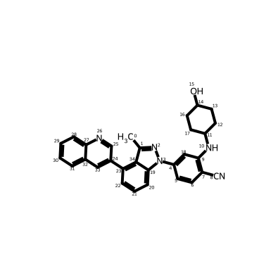 Cc1nn(-c2ccc(C#N)c(NC3CCC(O)CC3)c2)c2cccc(-c3cnc4ccccc4c3)c12